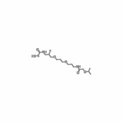 CC(C)OCC(=O)NCCCOCCCOCC(F)CNC(=O)SS